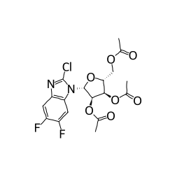 CC(=O)OC[C@H]1O[C@@H](n2c(Cl)nc3cc(F)c(F)cc32)[C@H](OC(C)=O)[C@@H]1OC(C)=O